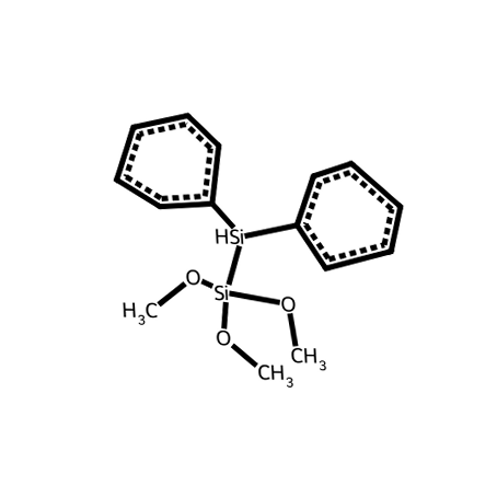 CO[Si](OC)(OC)[SiH](c1ccccc1)c1ccccc1